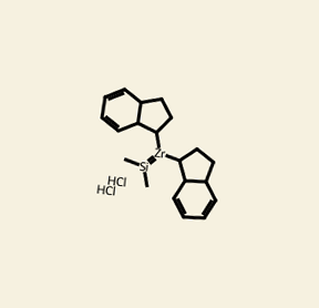 C[Si](C)=[Zr]([CH]1CCC2C=CC=CC21)[CH]1CCC2C=CC=CC21.Cl.Cl